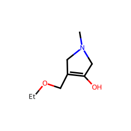 CCOCC1=C(O)CN(C)C1